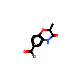 CC1Oc2ccc(C(=O)Cl)cc2NC1=O